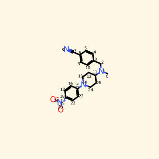 CN(Cc1ccc(C#N)cc1)C1CCN(c2ccc([N+](=O)[O-])cc2)CC1